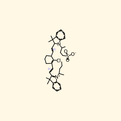 CCCC(C)[N+]1=C(/C=C/C2=C(Cl)C(/C=C/C3N(C(C)CCS(=O)(=O)[O-])c4ccccc4C3(C)C)CCC2)C(C)(C)c2ccccc21